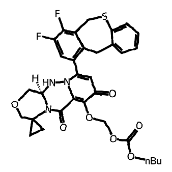 CCCCOC(=O)OCOc1c2n(c(-c3cc(F)c(F)c4c3Cc3ccccc3SC4)cc1=O)N[C@@H]1COCC3(CC3)N1C2=O